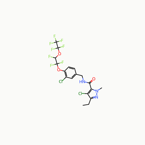 CCc1nn(C)c(C(=O)NCc2ccc(OC(F)(F)C(F)OC(F)(F)C(F)(F)F)c(Cl)c2)c1Cl